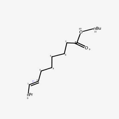 CCC/C=C/CCCCCC(=O)OCCCC